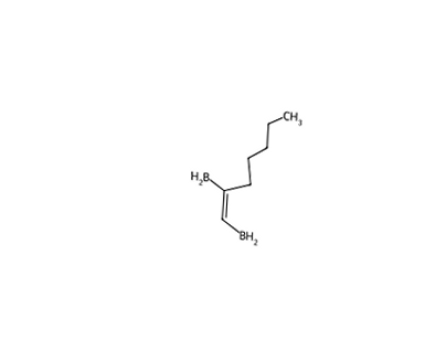 BC=C(B)CCCCC